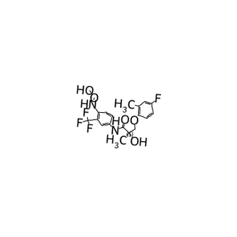 Cc1cc(F)ccc1OC[C@](C)(O)C(=O)Nc1ccc(NOO)c(C(F)(F)F)c1